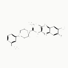 COc1cccc(N2CCN(C(=O)Nc3nc4cc(Cl)c(Cl)cc4nc3OC)CC2)c1